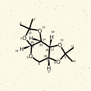 CC1(C)O[C@H]2OC[C@H]3OC(C)(C)O[C@H]3[C@H]2O1